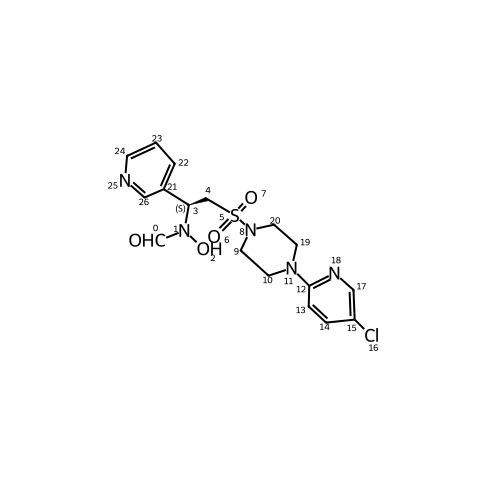 O=CN(O)[C@H](CS(=O)(=O)N1CCN(c2ccc(Cl)cn2)CC1)c1cccnc1